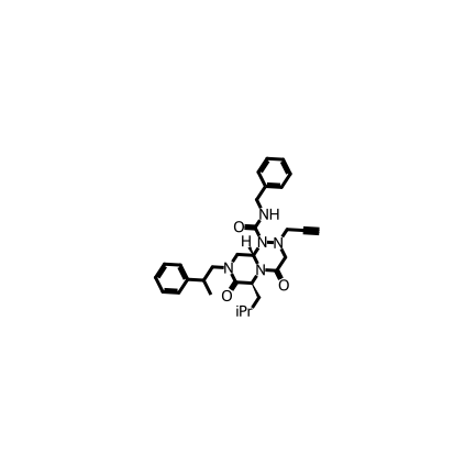 C#CCN1CC(=O)N2[C@@H](CC(C)C)C(=O)N(CC(C)c3ccccc3)C[C@@H]2N1C(=O)NCc1ccccc1